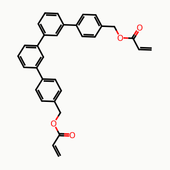 C=CC(=O)OCc1ccc(-c2cccc(-c3cccc(-c4ccc(COC(=O)C=C)cc4)c3)c2)cc1